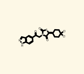 O=C(CN1C(=O)SC(=C2CCC(Cl)(Cl)CC2)C1=O)c1ccc2[nH]ncc2c1